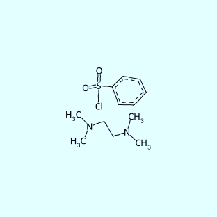 CN(C)CCN(C)C.O=S(=O)(Cl)c1ccccc1